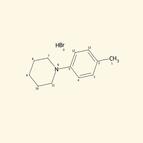 Br.Cc1ccc(N2CCCCC2)cc1